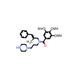 COc1cc(C(=O)N(CCCN2CCNCC2)C/C(C)=C/c2ccccc2)cc(OC)c1OC